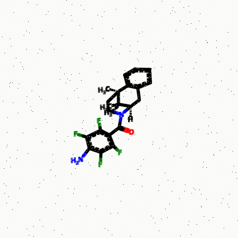 CC1(C)[C@H]2Cc3ccccc3[C@]1(C)CCN2C(=O)c1c(F)c(F)c(N)c(F)c1F